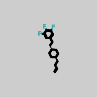 C=CCC[C@H]1CC[C@H](CCc2cc(F)c(F)c(F)c2)CC1